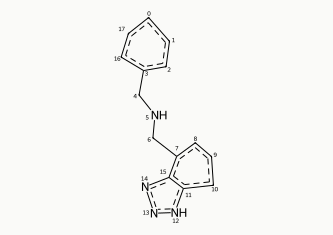 c1ccc(CNCc2cccc3[nH]nnc23)cc1